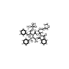 CC(C)CN(N(C(=O)O[C@@]1(N2C(=O)c3ccccc3C2=O)CO[C@H]([C@@H]2CCOC2)C1)C(Cc1ccccc1)[C@H](C)OP(=O)(O)O)S(=O)(=O)c1ccccc1